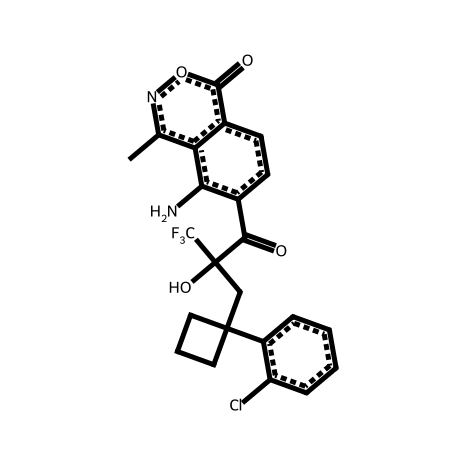 Cc1noc(=O)c2ccc(C(=O)C(O)(CC3(c4ccccc4Cl)CCC3)C(F)(F)F)c(N)c12